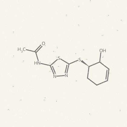 CC(=O)Nc1nnc(S[C@@H]2CCC=CC2O)s1